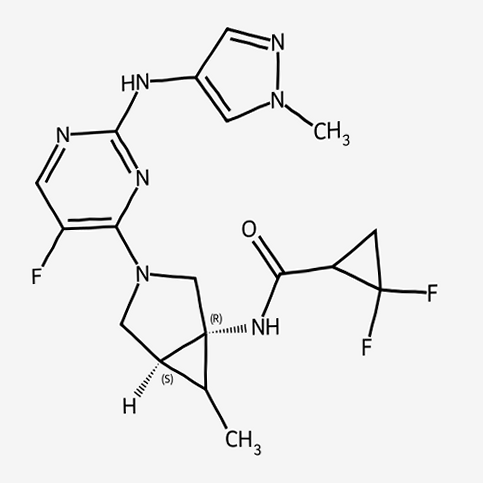 CC1[C@H]2CN(c3nc(Nc4cnn(C)c4)ncc3F)C[C@@]12NC(=O)C1CC1(F)F